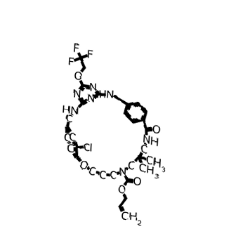 C=CCOC(=O)N1CCCOc2ccc(cc2Cl)CNc2nc(nc(OCC(F)(F)F)n2)Nc2ccc(cc2)C(=O)NCC(C)(C)C1